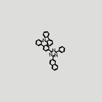 c1ccc(-c2nc(-c3ccc(-c4ccccc4-n4c5ccccc5c5ccccc54)cc3)nc(-c3ccc4ccccc4c3)n2)cc1